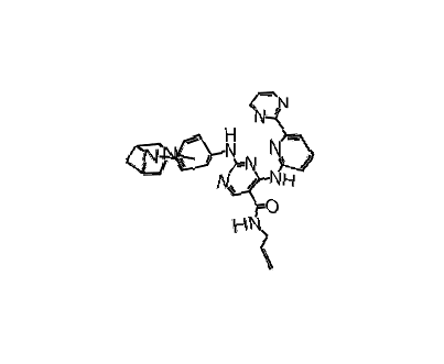 C=CCNC(=O)c1cnc(Nc2ccc(N3C4CC3CN(C)C4)cc2)nc1Nc1cccc(-c2ncccn2)n1